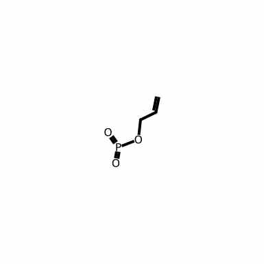 C=CCOP(=O)=O